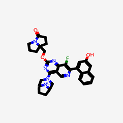 O=C1CCC2(COc3nc(N4CC5CCC(C4)N5)c4cnc(-c5cc(O)cc6ccccc56)c(F)c4n3)CCCN12